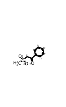 CS(=O)(=O)CC(=O)c1ccccc1